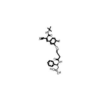 CC(C)(C)NC(=O)C(C#N)=Cc1ccc(F)c(OCCC(=O)N[C@@H](CB(O)O)c2ccccc2)c1